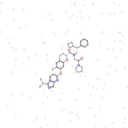 O=C(CN(C[C@@H](c1ccccc1)C1CCC1)C(=O)[C@H]1CCc2cc(F)c(Oc3ccn4c(C(F)F)ncc4n3)cc2O1)N1CCCC1